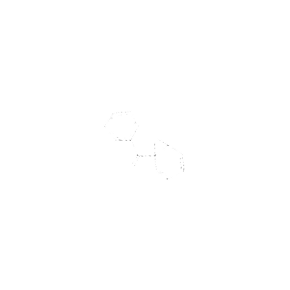 O=C(c1ccccc1)C12C=CC=CC1S2